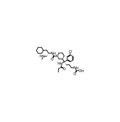 CCC(=O)N[C@](CCCNC(=O)O)(c1cccc(Cl)c1)[C@@H]1CCCN(C(=O)N[C@H](CNC)CC2CCCCC2)C1